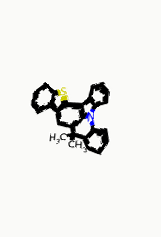 CC1(C)c2ccccc2-n2c3ccccc3c3c4sc5ccccc5c4cc1c32